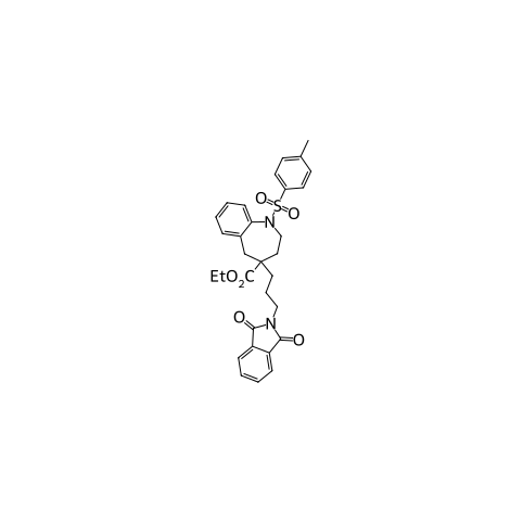 CCOC(=O)C1(CCCN2C(=O)c3ccccc3C2=O)CCN(S(=O)(=O)c2ccc(C)cc2)c2ccccc2C1